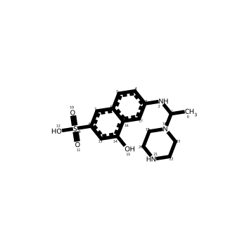 CC(Nc1ccc2cc(S(=O)(=O)O)cc(O)c2c1)N1CCNCC1